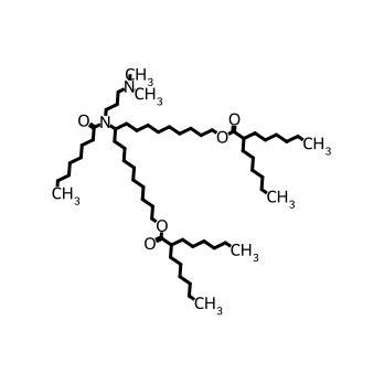 CCCCCCCC(=O)N(CCCN(C)C)C(CCCCCCCCCOC(=O)C(CCCCCC)CCCCCC)CCCCCCCCCOC(=O)C(CCCCCC)CCCCCC